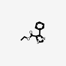 CCOC(=O)c1s[c]nc1-c1ccccc1